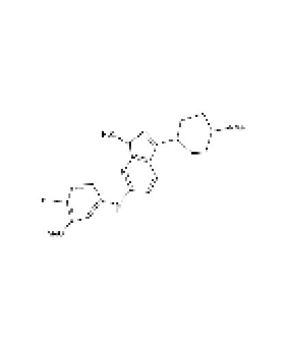 CNC1CCC(c2cn(C)c3nc(Nc4ccc(F)c(OC)c4)ccc23)CC1